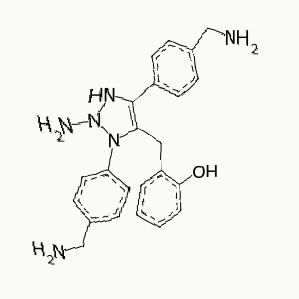 NCc1ccc(C2=C(Cc3ccccc3O)N(c3ccc(CN)cc3)N(N)N2)cc1